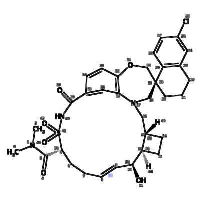 CN(C)C(=O)[C@H]1CC/C=C/[C@H](O)[C@@H]2CC[C@H]2CN2C[C@@]3(CCCc4cc(Cl)ccc43)COc3ccc(cc32)C(=O)NS1(=O)=O